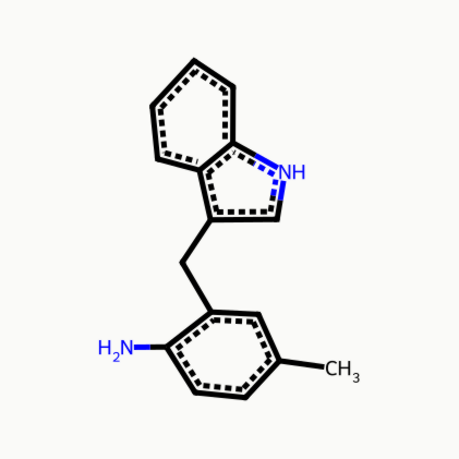 Cc1ccc(N)c(Cc2c[nH]c3ccccc23)c1